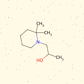 CC(O)CN1CCCCC1(C)C